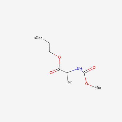 CCCCCCCCCCCCOC(=O)C(NC(=O)OC(C)(C)C)C(C)C